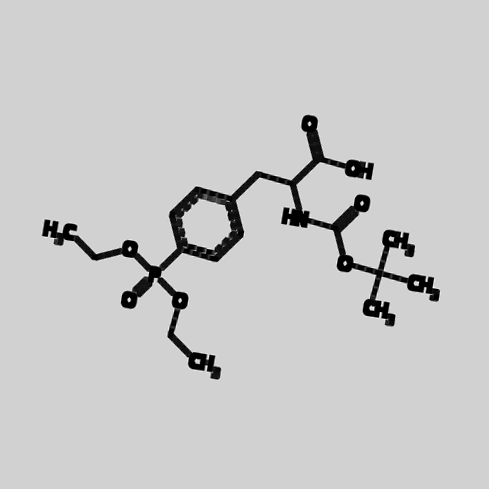 CCOP(=O)(OCC)c1ccc(CC(NC(=O)OC(C)(C)C)C(=O)O)cc1